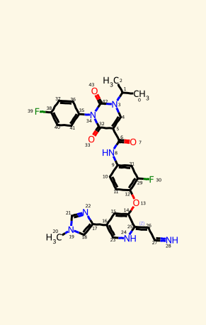 CC(C)n1cc(C(=O)Nc2ccc(OC3=CC(c4cn(C)cn4)=CN/C3=C\C=N)c(F)c2)c(=O)n(-c2ccc(F)cc2)c1=O